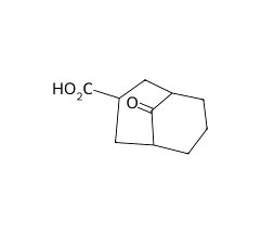 O=C(O)C1CC2CCCC(C1)C2=O